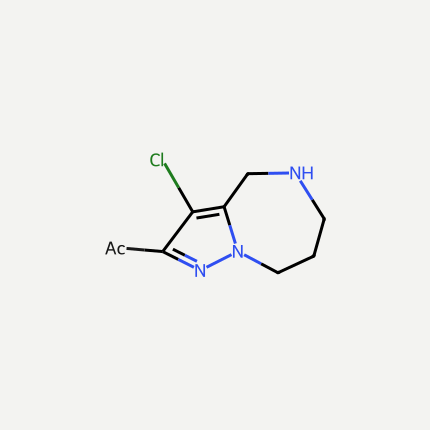 CC(=O)c1nn2c(c1Cl)CNCCC2